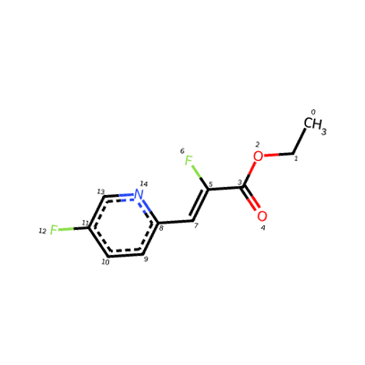 CCOC(=O)/C(F)=C/c1ccc(F)cn1